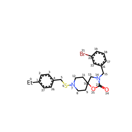 CCc1ccc(CSN2CCC3(CC2)CN(Cc2cccc(Br)c2)C(=O)O3)cc1